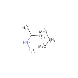 CNC(C)C.CO[SiH2]OC